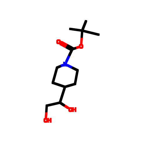 CC(C)(C)OC(=O)N1CCC(C(O)CO)CC1